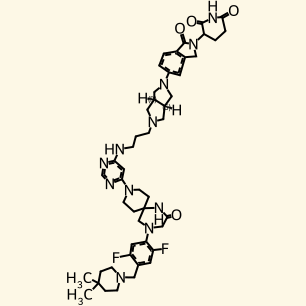 CC1(C)CCN(Cc2cc(F)c(N3CC(=O)NC4(CCN(c5cc(NCCCN6C[C@@H]7CN(c8ccc9c(c8)CN(C8CCC(=O)NC8=O)C9=O)C[C@@H]7C6)ncn5)CC4)C3)cc2F)CC1